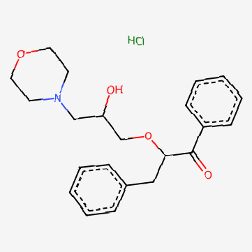 Cl.O=C(c1ccccc1)C(Cc1ccccc1)OCC(O)CN1CCOCC1